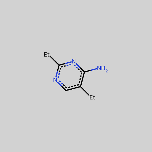 [CH2]Cc1cnc(CC)nc1N